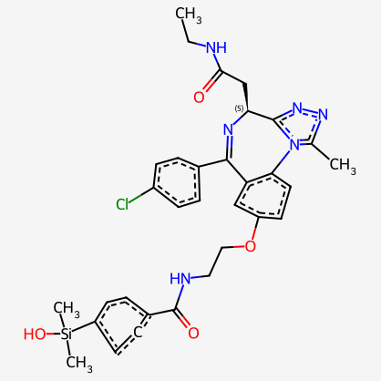 CCNC(=O)C[C@@H]1N=C(c2ccc(Cl)cc2)c2cc(OCCNC(=O)c3ccc([Si](C)(C)O)cc3)ccc2-n2c(C)nnc21